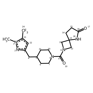 Cn1nc(CC2CCN(C(=O)N3CC4(CCC(=O)N4)C3)CC2)cc1C(F)(F)F